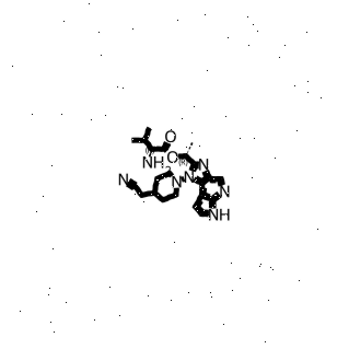 CC(C)[C@@H](N)C(=O)O[C@H](C)c1nc2cnc3[nH]ccc3c2n1N1CCC(CC#N)CC1